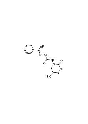 CCC/C(=N\NC(=O)NN1CC(C)=NNC1=O)c1ccccc1